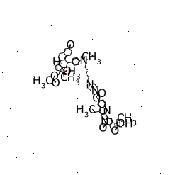 CCc1c2c(nc3ccc(OC(=O)N4CCN(CCCCCCN(C)c5ccc(C6CC7(C)[C@@H](CCC7(COC(C)=O)C(C)=O)C7CCC8=CC(=O)CCC8=C67)cc5)CC4)cc13)-c1cc3c(c(=O)n1C2)COC[C@]3(O)CC